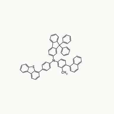 Cc1cc(N(c2ccc(-c3cccc4c3sc3ccccc34)cc2)c2ccc3c(c2)C(c2ccccc2)(c2ccccc2)c2ccccc2-3)ccc1-c1cccc2ccccc12